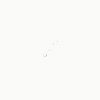 C=Cc1ccc(S(=O)(=O)NC(=O)CCNCCCc2ccc(OCCCc3ccccc3)cc2)cc1